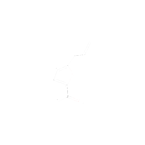 C=CCc1ccc(C(C)=O)o1